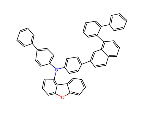 c1ccc(-c2ccc(N(c3ccc(-c4ccc5cccc(-c6ccccc6-c6ccccc6)c5c4)cc3)c3cccc4oc5ccccc5c34)cc2)cc1